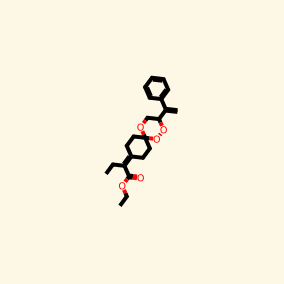 C=C(c1ccccc1)C1COC2(CCC(=C(CC)C(=O)OCC)CC2)OO1